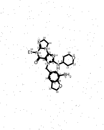 Bc1cc(Cn2c(NC3CCOCC3)nc3c2C(=O)N(CC)C2=NCCN23)cc2c1OCC2